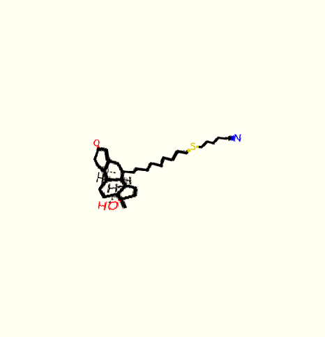 CC1(O)CC[C@H]2[C@@H]3C(CCCCCCCCCSCCCCC#N)CC4=CC(=O)CC[C@]4(C)[C@@H]3CC[C@@]21C